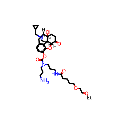 CCOCCOCCCCC(=O)NCCCN(CCCN)C(=O)Oc1ccc2c3c1O[C@H]1C(=O)CC[C@@]4(O)[C@@H](C2)N(CC2CC2)CC[C@]314